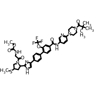 COC(=O)NCC(=O)N1CC(SC)CC1c1nc(-c2ccc(-c3ccc(C(=O)Nc4ccc(N5CCN(C(=O)C(C)(C)C)CC5)nc4)cc3OC(F)(F)F)cc2)c[nH]1